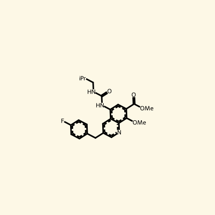 COC(=O)c1cc(NC(=O)NCC(C)C)c2cc(Cc3ccc(F)cc3)cnc2c1OC